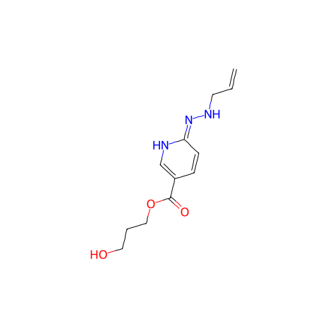 C=CCNN=c1ccc(C(=O)OCCCO)c[nH]1